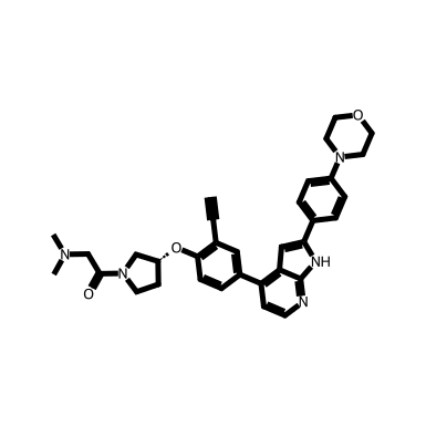 C#Cc1cc(-c2ccnc3[nH]c(-c4ccc(N5CCOCC5)cc4)cc23)ccc1O[C@@H]1CCN(C(=O)CN(C)C)C1